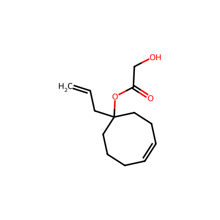 C=CCC1(OC(=O)CO)CCC=CCCC1